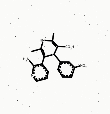 CC1=C(C(=O)O)C(c2cccc([N+](=O)[O-])c2)C(c2cccnc2N)=C(C)N1